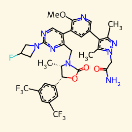 COc1ncc(-c2c(C)nn(CC(N)=O)c2C)cc1-c1cnc(N2CC(F)C2)nc1CN1C(=O)O[C@H](c2cc(C(F)(F)F)cc(C(F)(F)F)c2)[C@@H]1C